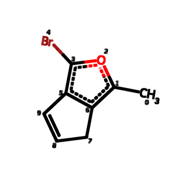 Cc1oc(Br)c2c1CC=C2